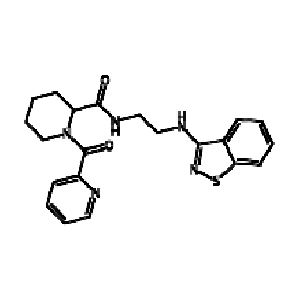 O=C(NCCNc1nsc2ccccc12)C1CCCCN1C(=O)c1ccccn1